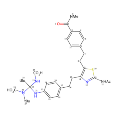 CNC(=O)c1ccc(CCc2sc(NC(C)=O)nc2CCc2ccc(NC(NC(=O)O)(N(C(=O)O)C(C)(C)C)C(C)(C)C)cc2)cc1